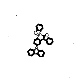 c1ccc2c(c1)OB1c3ccc(-n4c5ccccc5c5ccccc54)cc3-c3c(oc4ccccc34)N12